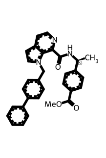 COC(=O)c1ccc([C@H](C)NC(=O)c2nccc3ccn(Cc4ccc(-c5ccccc5)cc4)c23)cc1